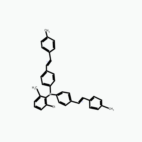 CCc1cccc(C)c1N(c1ccc(/C=C/c2ccc(C)cc2)cc1)c1ccc(/C=C/c2ccc(C)cc2)cc1